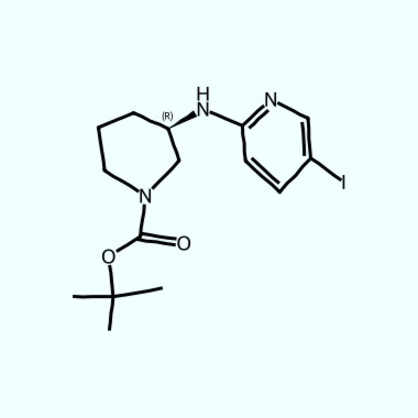 CC(C)(C)OC(=O)N1CCC[C@@H](Nc2ccc(I)cn2)C1